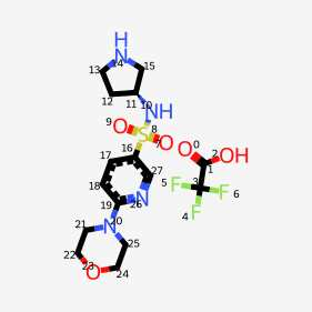 O=C(O)C(F)(F)F.O=S(=O)(N[C@H]1CCNC1)c1ccc(N2CCOCC2)nc1